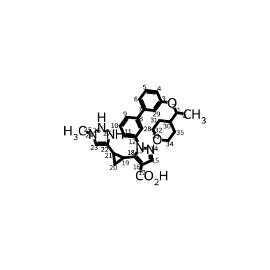 CC(Oc1cccc(-c2cccc(-n3ncc(C(=O)O)c3C3CC3C3=CN(C)NN3)c2)c1)C1CCOCC1